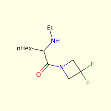 CCCCCCC(NCC)C(=O)N1CC(F)(F)C1